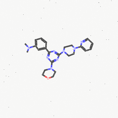 CN(C)c1cccc(-c2nc(N3CCOCC3)nc(N3CCN(c4ccccn4)CC3)n2)c1